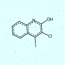 Oc1nc2ccccc2c(I)c1Cl